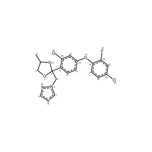 CC1COC(Cn2cncn2)(c2ccc(Oc3ccc(Cl)cc3F)cc2Cl)O1